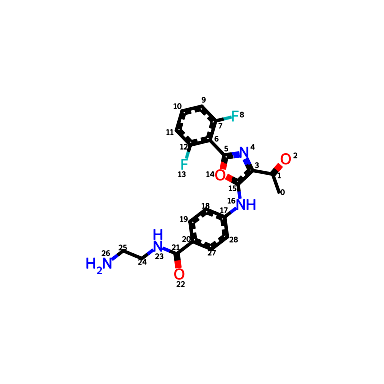 CC(=O)c1nc(-c2c(F)cccc2F)oc1Nc1ccc(C(=O)NCCN)cc1